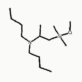 CCCCN(CCCC)C(C)C[Si](C)(C)OC